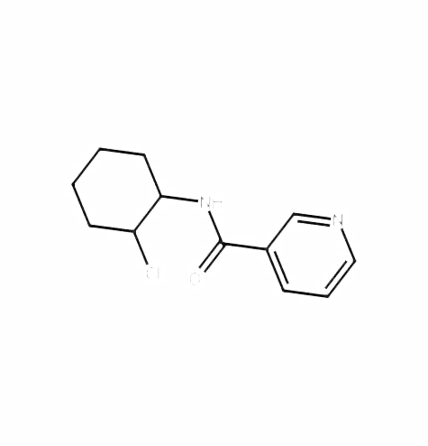 O=C(NC1CCCCC1Cl)c1cccnc1